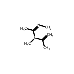 C=C(C)N(C)/C(C)=N\C